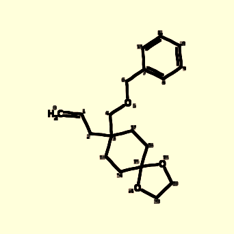 C=CCC1(COCc2ccccc2)CCC2(CC1)OCCO2